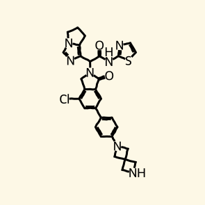 O=C(Nc1nccs1)C(c1ncn2c1CCC2)N1Cc2c(Cl)cc(-c3ccc(N4CC5(CNC5)C4)cc3)cc2C1=O